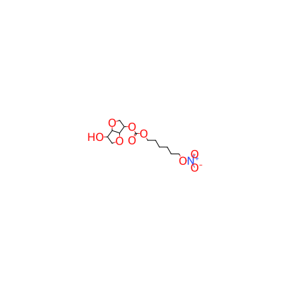 O=C(OCCCCCCO[N+](=O)[O-])OC1COC2C(O)COC12